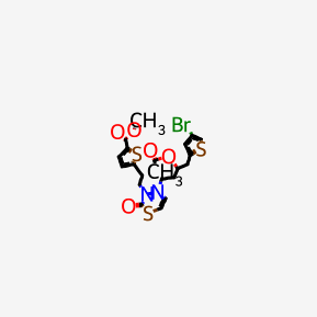 COC(=O)c1ccc(CCN2C(=O)SC=CN2CCC(Cc2cc(Br)cs2)OC(C)=O)s1